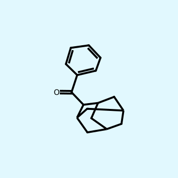 O=C(c1ccccc1)C1C2CC3CC(C2)CC1C3